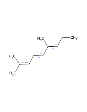 [CH2]C/C=C(C)/C=C/C=C(C)C